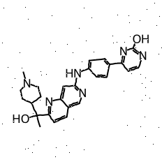 CN1CCC(C(C)(O)c2ccc3cnc(Nc4ccc(-c5ccnc(O)n5)cc4)cc3n2)CC1